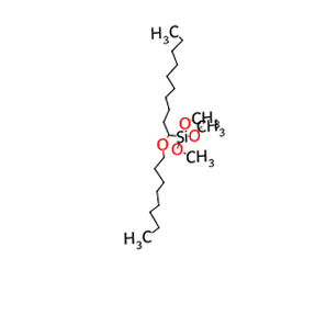 CCCCCCCCCC(OCCCCCCCC)[Si](OC)(OC)OC